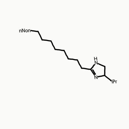 CCCCCCCCCCCCCCCCCC1=NC(C(C)C)CN1